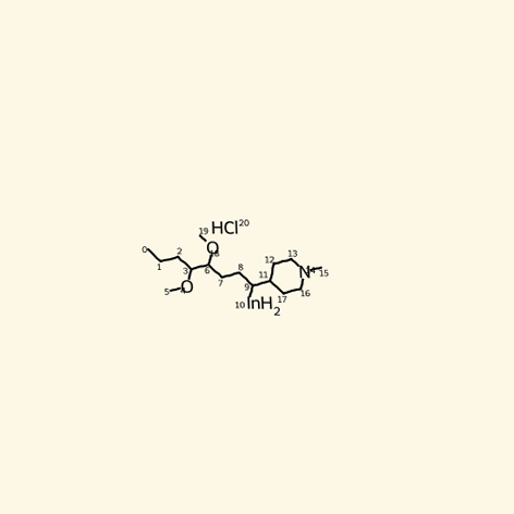 CCCC(OC)C(CC[CH]([InH2])C1CCN(C)CC1)OC.Cl